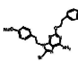 COc1ccc(CCn2c(Br)nc3c(N)nc(OCCc4ccccc4)nc32)cc1